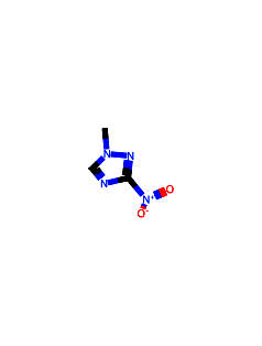 Cn1[c]nc([N+](=O)[O-])n1